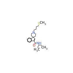 CCC(CC)NC(=O)C1=CC2(CCN(CCCCSC)CC2)c2ccccc21